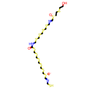 O=C(NCSCSCSCSC/N=C/[S+]([O-])CCSCCO)SCSCSCSCSC[S+]([O-])/C=N/CS